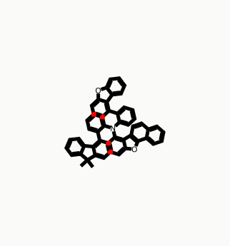 CC1(C)c2ccccc2-c2c(-c3ccccc3N(c3ccccc3-c3cccc4oc5ccccc5c34)c3cccc4oc5c6ccccc6ccc5c34)cccc21